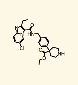 CCOC(=O)C1(c2ccc(CNC(=O)c3c(CC)nc4ccc(Cl)cn34)cc2)CCNCC1